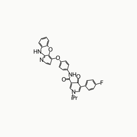 CC(C)n1cc(C(=O)Nc2ccc(Oc3ccnc4c3Oc3ccccc3N4)cc2)c(=O)c(-c2ccc(F)cc2)c1